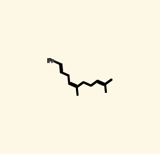 CC(C)=CCCC(C)=CCC=CC(C)C